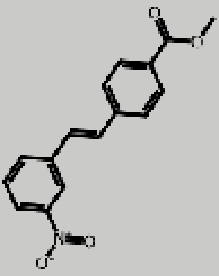 COC(=O)c1ccc(C=Cc2cccc([N+](=O)[O-])c2)cc1